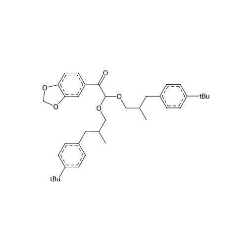 CC(COC(OCC(C)Cc1ccc(C(C)(C)C)cc1)C(=O)c1ccc2c(c1)OCO2)Cc1ccc(C(C)(C)C)cc1